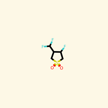 O=S1(=O)CC(F)C(C(F)F)C1